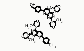 C[C@H]1COCCN1c1nc(N2CCOC[C@@H]2C)c2ccc(-c3ccc(CO)cc3)nc2n1.Cc1ccc(-c2ccc3c(N4CCOC[C@@H]4C)nc(N4CCOC[C@@H]4C)nc3n2)cc1